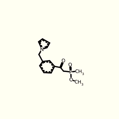 COP(C)(=O)CC(=O)c1cccc(Cn2cccc2)c1